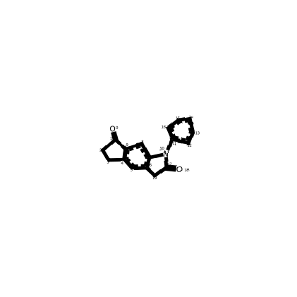 O=C1CCc2cc3c(cc21)N(c1ccccc1)C(=O)C3